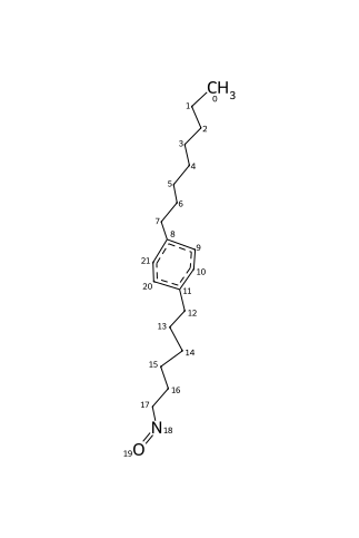 CCCCCCCCc1ccc(CCCCCCN=O)cc1